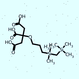 C[Si](C)(C)C[Si](C)(C)CCCOC(CC(=O)O)(CC(=O)O)C(=O)O